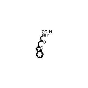 O=C(CNC(=O)O)Cc1cc2ccccc2o1